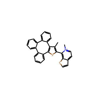 Cc1c(-c2c3sccc3cc[n+]2C)sc2c1-c1ccccc1-c1ccccc1-c1ccccc1-2